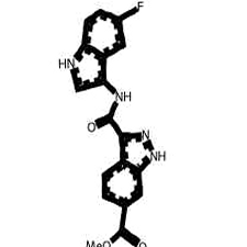 COC(=O)c1ccc2c(C(=O)Nc3c[nH]c4ccc(F)cc34)n[nH]c2c1